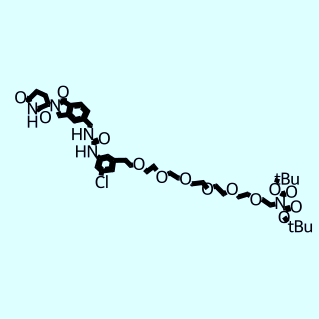 CC(C)(C)OC(=O)N(CCOCCOCCOCCOCCOCCOCCc1cc(Cl)cc(NC(=O)NCc2ccc3c(c2)CN(C2CCC(=O)NC2=O)C3=O)c1)C(=O)OC(C)(C)C